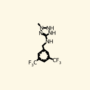 CN1N=C(NCc2cc(C(F)(F)F)cc(C(F)(F)F)c2)NN1